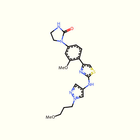 COCCCn1cc(Nc2nc(-c3ccc(N4CCNC4=O)cc3OC)cs2)cn1